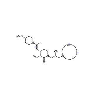 C=CC1=C(/C=C(\C)N2CCC(NC)CC2)CCN(CC(O)CN2CC/C=C\C/C=C\CCC2)C1=O